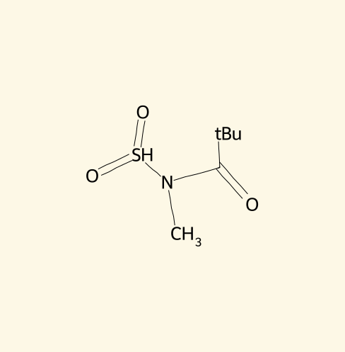 CN(C(=O)C(C)(C)C)[SH](=O)=O